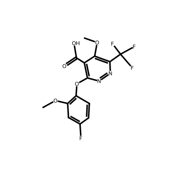 COc1cc(F)ccc1Oc1nnc(C(F)(F)F)c(OC)c1C(=O)O